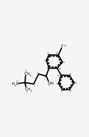 CC(C)(N)CCC(O)c1ccc(F)cc1-c1ccccc1